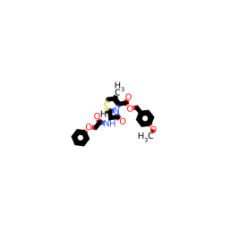 COc1ccc(COC(=O)C2=C(C)CS[C@H]3[C@H](NC(=O)COc4ccccc4)C(=O)N23)cc1